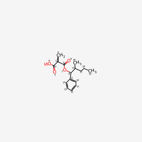 C=C(C(=O)O)C(=O)OC(c1ccccc1)C(C)CCC